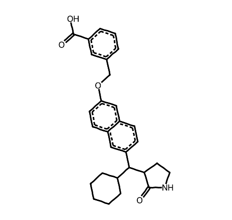 O=C(O)c1cccc(COc2ccc3cc(C(C4CCCCC4)C4CCNC4=O)ccc3c2)c1